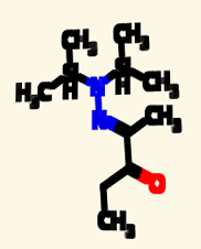 CCC(=O)C(C)=NN([SiH](C)C)[SiH](C)C